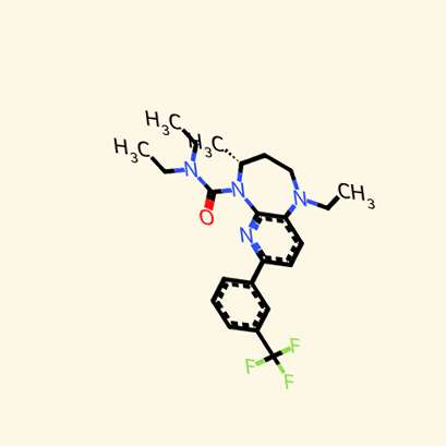 CCN(CC)C(=O)N1c2nc(-c3cccc(C(F)(F)F)c3)ccc2N(CC)CC[C@H]1C